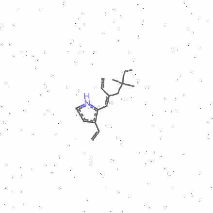 C=C/C(=C\c1[nH]ccc1C=C)CC(C)(C)CC